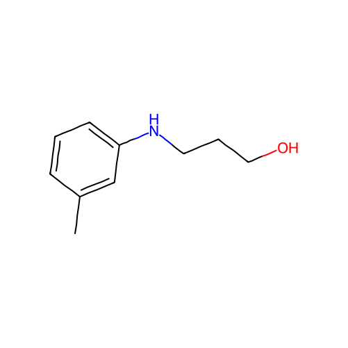 Cc1cccc(NCCCO)c1